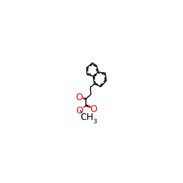 COC(=O)C(=O)CCc1cccc2ccccc12